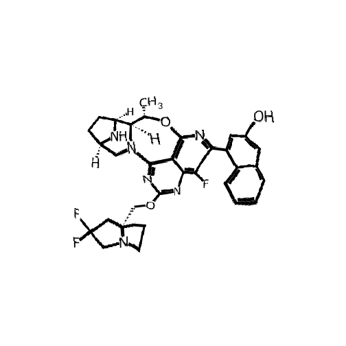 C[C@@H]1Oc2nc(-c3cc(O)cc4ccccc34)c(F)c3nc(OC[C@]45CCN4CC(F)(F)C5)nc(c23)N2C[C@H]3CC[C@H](N3)[C@@H]12